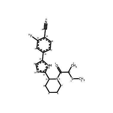 CSC(C)C(=O)N1CCCCC1c1ncc(-c2ccc(C#N)c(F)c2)[nH]1